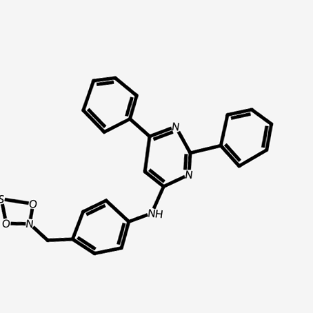 c1ccc(-c2cc(Nc3ccc(CN4OSO4)cc3)nc(-c3ccccc3)n2)cc1